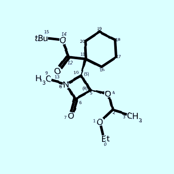 CCOC(C)O[C@H]1C(=O)N(C)[C@H]1C1(C(=O)OC(C)(C)C)CCCCC1